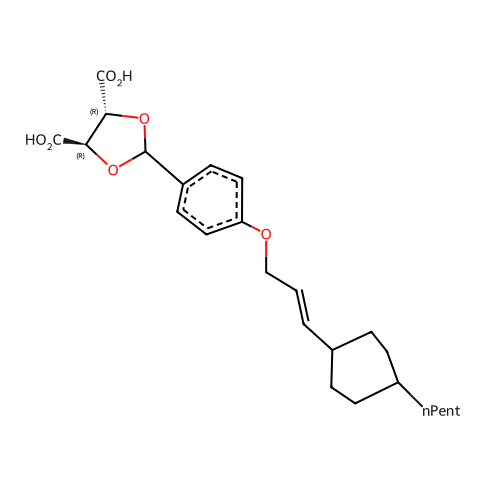 CCCCCC1CCC(C=CCOc2ccc(C3O[C@@H](C(=O)O)[C@H](C(=O)O)O3)cc2)CC1